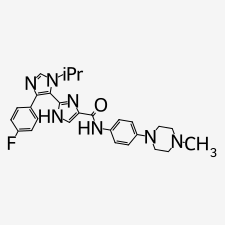 CC(C)n1cnc(-c2ccc(F)cc2)c1-c1nc(C(=O)Nc2ccc(N3CCN(C)CC3)cc2)c[nH]1